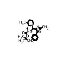 Cc1nc(C(=O)N2CCC[C@H](C)[C@H]2CNC(=O)OC(C)(C)C)c(-c2ccccc2)s1